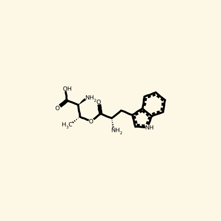 C[C@@H](OC(=O)[C@@H](N)Cc1c[nH]c2ccccc12)[C@H](N)C(=O)O